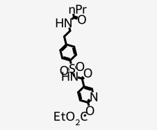 CCCC(=O)NCCc1ccc(S(=O)(=O)NC(=O)c2ccc(OC(=O)OCC)nc2)cc1